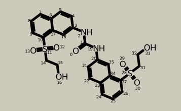 O=C(Nc1ccc2cccc(S(=O)(=O)CCO)c2c1)Nc1ccc2cccc(S(=O)(=O)CCO)c2c1